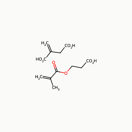 C=C(C)C(=O)OCCC(=O)O.C=C(CC(=O)O)C(=O)O